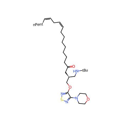 CCCCC/C=C\C/C=C\CCCCCCCC(=O)C[C@@H](CNC(C)(C)C)COc1nsnc1N1CCOCC1